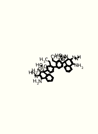 [H]/N=N/C1=C(N)c2ccccc2C(c2ccc(-c3ccc(C4(S(=O)(=O)O)c5ccccc5C(N)=C(/N=N/[H])C4N)cc3CC)c(CC)c2)(S(=O)(=O)O)C1N